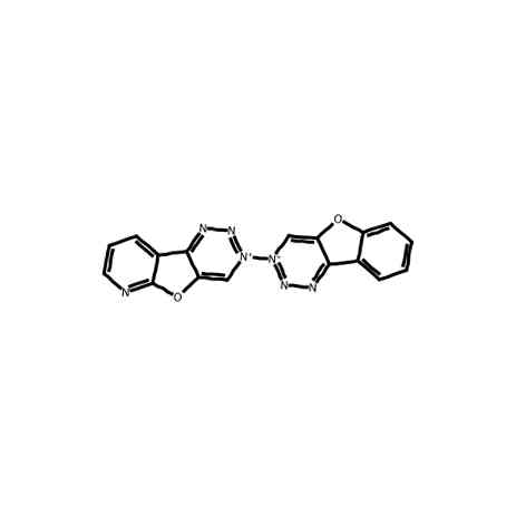 c1ccc2c(c1)oc1c[n+](-[n+]3cc4oc5ncccc5c4nn3)nnc12